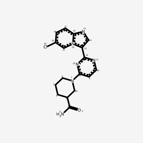 NC(=O)C1CCCN(c2ccnc(-c3cnc4ccc(Cl)cn34)n2)C1